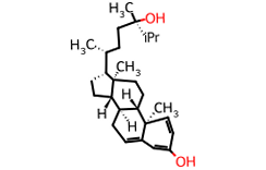 CC(C)[C@](C)(O)CC[C@@H](C)[C@H]1CC[C@H]2[C@@H]3CC=C4C=C(O)C=C[C@]4(C)[C@H]3CC[C@]12C